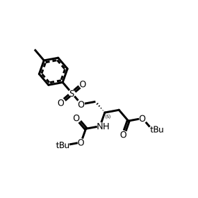 Cc1ccc(S(=O)(=O)OC[C@H](CC(=O)OC(C)(C)C)NC(=O)OC(C)(C)C)cc1